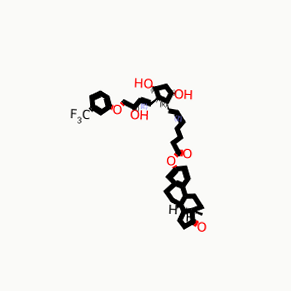 C[C@]12CCC3c4ccc(OC(=O)CCC/C=C\C[C@@H]5[C@@H](/C=C/[C@@H](O)COc6cccc(C(F)(F)F)c6)[C@H](O)C[C@@H]5O)cc4CC[C@H]3[C@@H]1CCC2=O